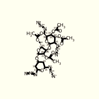 CC(=O)OC[C@H]1O[C@@H](OC2CC(N=[N+]=[N-])OC(N=[N+]=[N-])C2)[C@H](OC(C)=O)[C@@H]1O[C@H]1O[C@@H](CN=[N+]=[N-])[C@@H](OC(C)=O)[C@H](OC(C)=O)C1N=[N+]=[N-]